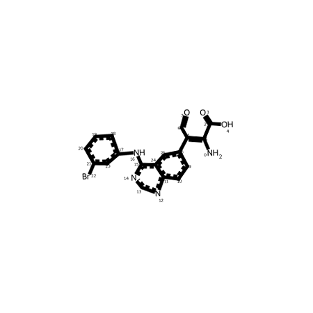 NC(C(=O)O)=C(C=O)c1ccc2ncnc(Nc3cccc(Br)c3)c2c1